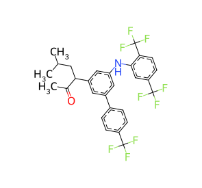 CC(=O)C(CC(C)C)c1cc(Nc2cc(C(F)(F)F)ccc2C(F)(F)F)cc(-c2ccc(C(F)(F)F)cc2)c1